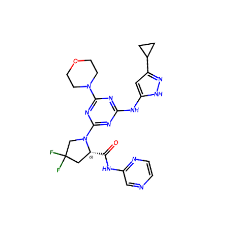 O=C(Nc1cnccn1)[C@@H]1CC(F)(F)CN1c1nc(Nc2cc(C3CC3)n[nH]2)nc(N2CCOCC2)n1